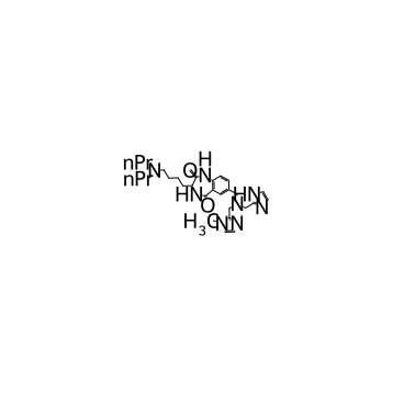 CCCN(CCC)CCCCC1NC(=O)c2cc(CN(Cc3ncc[nH]3)Cc3nccn3C)ccc2NC1=O